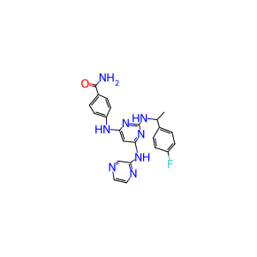 CC(Nc1nc(Nc2ccc(C(N)=O)cc2)cc(Nc2cnccn2)n1)c1ccc(F)cc1